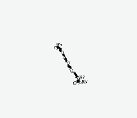 CCCCC(=O)NCCOCCOCCOCCOCCC(=O)C(C)C